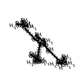 CCC(OC(=O)CCC(=O)C[SH](=P)=S)C(=O)N(CCCNC(=O)CCCCCCCCCO[C@@H]1OC(COC(C)=O)[C@H](OC(C)=O)[C@H](C)C1NC(C)=O)CCCN(CCCNC(=O)CCCCCCCCCO[C@@H]1OC(COC(C)=O)[C@H](OC(C)=O)[C@H](C)C1NC(C)=O)C(=O)CCCCCCCCCO[C@@H]1OC(COC(C)=O)[C@H](OC(C)=O)[C@H](C)C1NC(C)=O